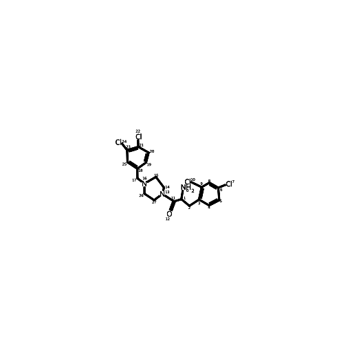 NC(Cc1ccc(Cl)cc1Cl)C(=O)N1CCN(Cc2ccc(Cl)c(Cl)c2)CC1